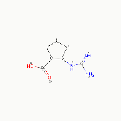 N=C(N)NC1CCCC1C(=O)O